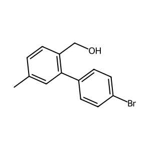 Cc1ccc(CO)c(-c2ccc(Br)cc2)c1